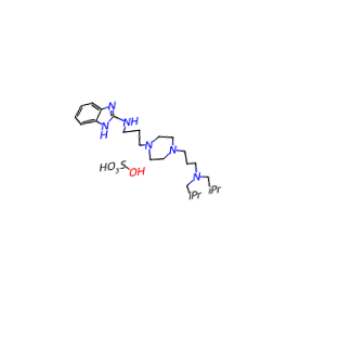 CC(C)CN(CCCN1CCN(CCCNc2nc3ccccc3[nH]2)CC1)CC(C)C.O=S(=O)(O)O